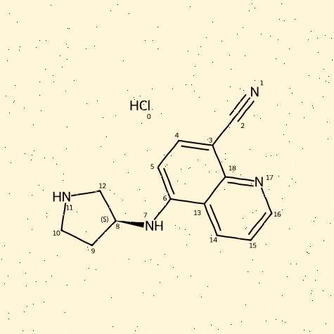 Cl.N#Cc1ccc(N[C@H]2CCNC2)c2cccnc12